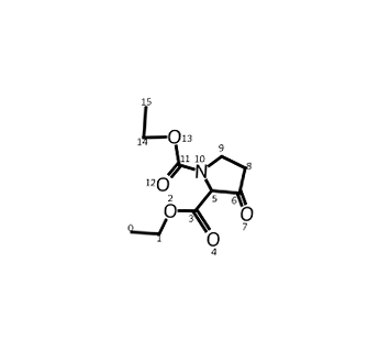 CCOC(=O)C1C(=O)CCN1C(=O)OCC